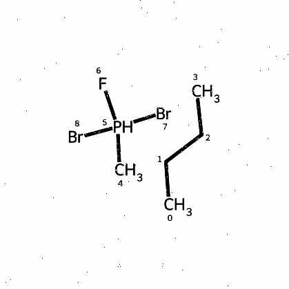 CCCC.C[PH](F)(Br)Br